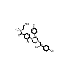 CN(CCO)C(=O)c1ccc(N2CCN(C[C@@H](O)c3ccc(C#N)cc3)C[C@H]2c2ccc(Cl)cc2)c(Cl)c1